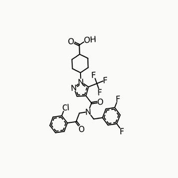 O=C(CN(Cc1cc(F)cc(F)c1)C(=O)c1cnn(C2CCC(C(=O)O)CC2)c1C(F)(F)F)c1ccccc1Cl